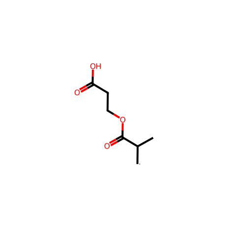 [CH2]C(C)C(=O)OCCC(=O)O